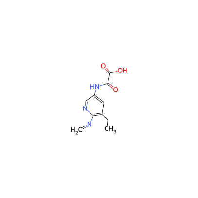 C=Nc1ncc(NC(=O)C(=O)O)cc1CC